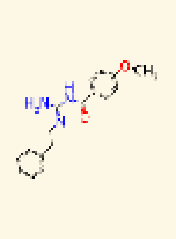 COc1ccc(C(=O)NC(N)=NCCc2ccccc2)cc1